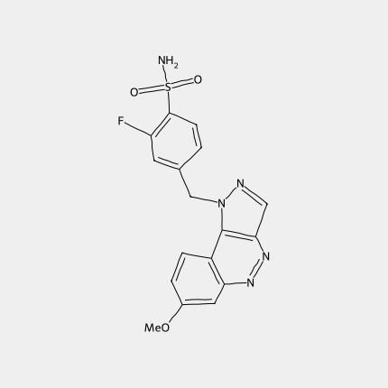 COc1ccc2c(c1)nnc1cnn(Cc3ccc(S(N)(=O)=O)c(F)c3)c12